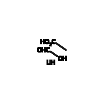 CC(=O)O.O=CO.[LiH]